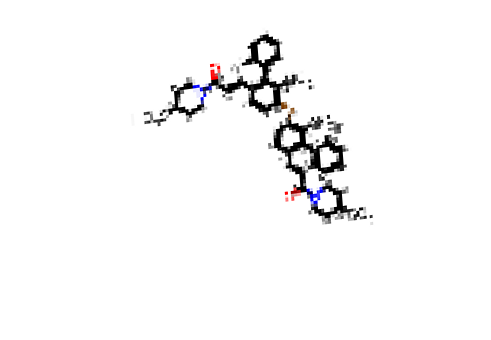 CC(C)c1ccccc1-c1c(/C=C/C(=O)N2CCC(S(=O)(=O)O)CC2)ccc(Sc2ccc(/C=C/C(=O)N3CCC(S(=O)(=O)O)CC3)c(-c3ccccc3C(C)C)c2[N+](=O)[O-])c1[N+](=O)[O-]